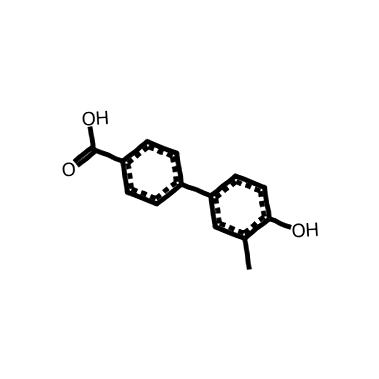 Cc1cc(-c2ccc(C(=O)O)cc2)ccc1O